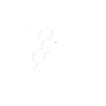 CCCCCCc1cc(O)c(C2=C(C(C)(C)C(=O)OCC)CCC(C)C2)c(O)c1